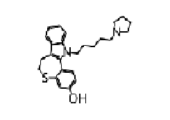 Oc1ccc2c(c1)SCCc1c-2n(CCCCCN2CCCC2)c2ccccc12